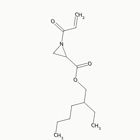 C=CC(=O)N1CC1C(=O)OCC(CC)CCCC